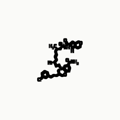 CC[C@@H](C/C=C/C[C@H](C)C[S+]([O-])NC(=O)c1cc2c([nH]1)CCOC2)CCN1CC(CCCc2cccc(Cl)c2)COc2ccc(C(N)=O)cc21